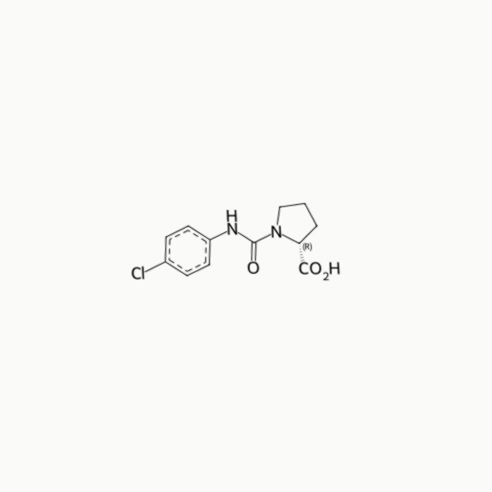 O=C(O)[C@H]1CCCN1C(=O)Nc1ccc(Cl)cc1